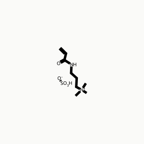 C=CC(=O)NCCC[N+](C)(C)C.O=S(=O)([O-])O